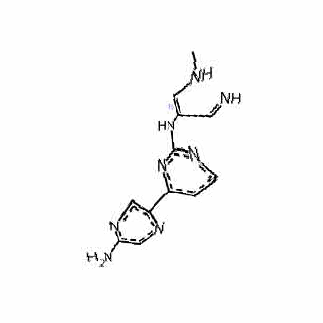 CN/C=C(\C=N)Nc1nccc(-c2cnc(N)cn2)n1